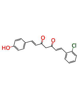 O=C(/C=C/c1ccc(O)cc1)CC(=O)/C=C/c1ccccc1Cl